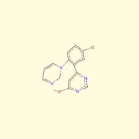 COc1cc(-c2cc(Cl)ccc2N2C=CC=NC2)ncn1